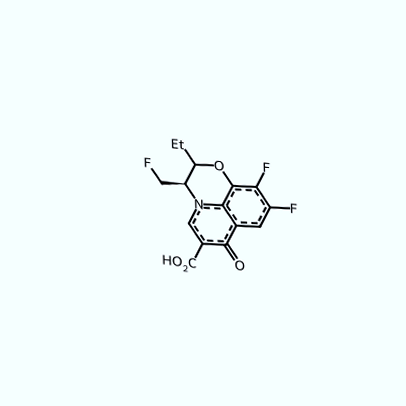 CCC1Oc2c(F)c(F)cc3c(=O)c(C(=O)O)cn(c23)[C@H]1CF